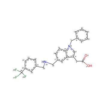 O=C(O)Cc1cn(Cc2ccccc2)c2ccc(CNCc3cccc(C(F)(F)F)c3)cc12